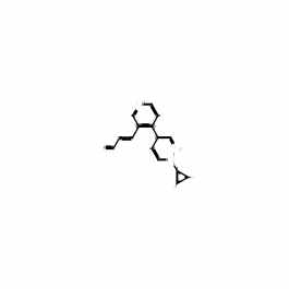 O=C/C=C/c1cnccc1C1C=CN(C2CC2)N=C1